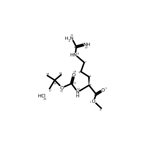 COC(=O)[C@H](CCCNC(=N)N)NC(=O)OC(C)(C)C.Cl